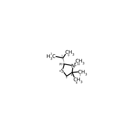 CC(C)[C@H]1SCC(C)(C)N1C